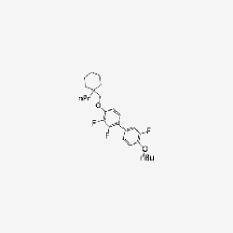 CCCCOc1ccc(-c2ccc(OCC3(CCC)CCCCC3)c(F)c2F)cc1F